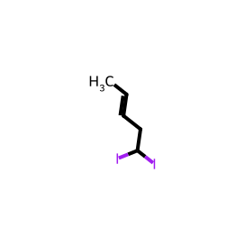 CC=CCC(I)I